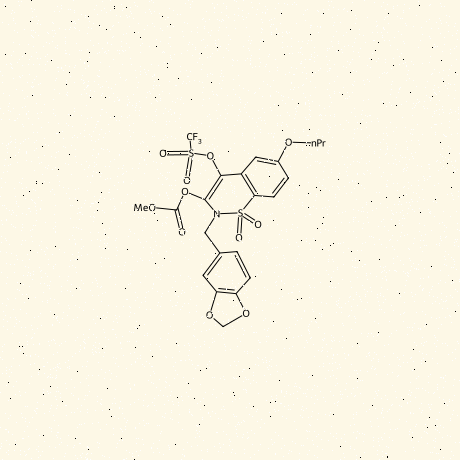 CCCOc1ccc2c(c1)C(OS(=O)(=O)C(F)(F)F)=C(OC(=O)OC)N(Cc1ccc3c(c1)OCO3)S2(=O)=O